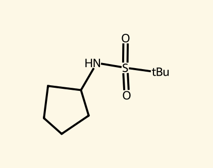 CC(C)(C)S(=O)(=O)NC1CCCC1